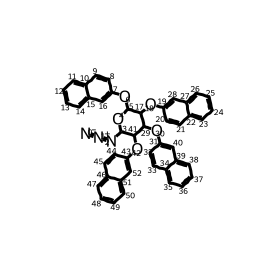 [N-]=[N+]=NC1OC(Oc2ccc3ccccc3c2)C(Oc2ccc3ccccc3c2)C(Oc2ccc3ccccc3c2)C1Oc1ccc2ccccc2c1